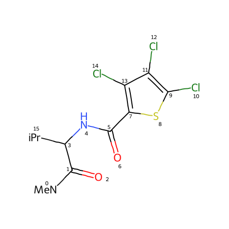 CNC(=O)C(NC(=O)c1sc(Cl)c(Cl)c1Cl)C(C)C